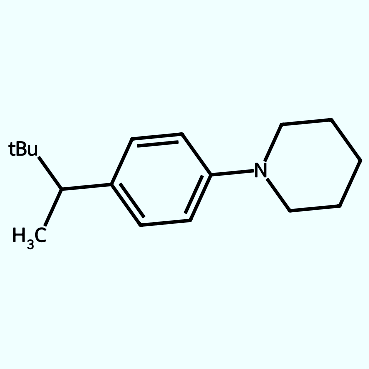 CC(c1ccc(N2CCCCC2)cc1)C(C)(C)C